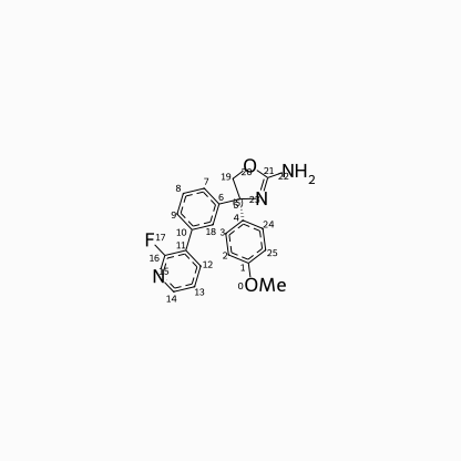 COc1ccc([C@]2(c3cccc(-c4cccnc4F)c3)COC(N)=N2)cc1